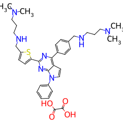 CN(C)CCCNCc1ccc(-c2nc(-c3ccc(CNCCCN(C)C)s3)nc3c2ccn3-c2ccccc2)cc1.O=C(O)C(=O)O